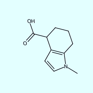 Cn1ccc2c1CCCC2C(=O)O